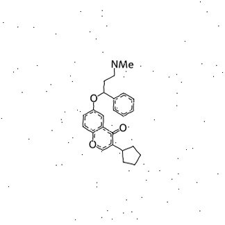 CNCCC(Oc1ccc2occ(C3CCCC3)c(=O)c2c1)c1ccccc1